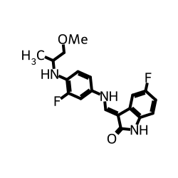 COCC(C)Nc1ccc(N/C=C2/C(=O)Nc3ccc(F)cc32)cc1F